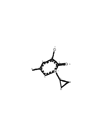 Cc1cc(Cl)c(=O)n(C2CC2)c1